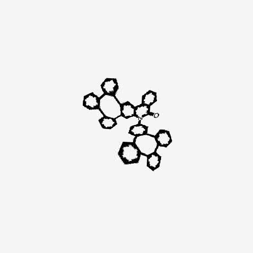 O=c1c2ccccc2c2cc3c(cc2n1-c1ccc2c(c1)-c1ccccc1-c1ccccc1-c1ccccc1-2)-c1ccccc1-c1ccccc1-c1ccccc1-3